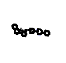 C=C(/C=C\C(=C/C)c1ccc(Nc2cccc3c2oc2c4ccccc4ccc32)cc1)c1ccccc1